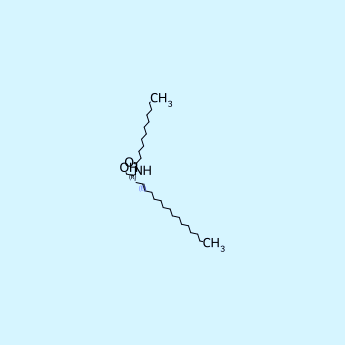 CCCCCCCCCCCCC/C=C/C[C@H](CO)NC(=O)CCCCCCCCCCC